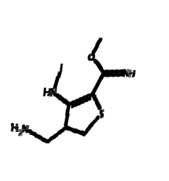 COC(=N)C1=C(NI)C(CN)CS1